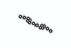 C=c1c(-c2ccc3c(c2)sc2cc(-c4ccc5ccc6c(-c7ccc(-c8ccccc8)cc7)ccc7ccc4c5c76)ccc23)ccc2ccc3c(-c4ccc(-c5ccccc5)cc4)cc/c(=C/C)c3c12